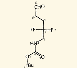 CC(C)(C)OC(=O)NCC(F)(F)CCC=O